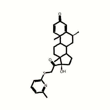 Cc1cccc(SCC(=O)[C@@]2(O)CCC3C4C[C@H](C)C5=CC(=O)C=CC5(C)C4CCC32C)n1